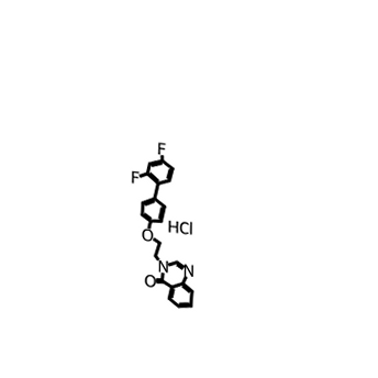 Cl.O=c1c2ccccc2ncn1CCOc1ccc(-c2ccc(F)cc2F)cc1